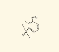 Cc1c(N)cccc1C(F)(F)F